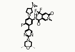 C[C@@H]1CN(c2ncc(-c3cc(NC(=O)c4cn(C)c(=O)cc4C(F)(F)F)c(N4CC[C@@H](N(C)C)C4)cc3F)cn2)C[C@H](C)O1